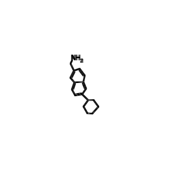 NCc1ccc2cc(C3CCCCC3)ccc2c1